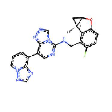 Fc1ccc2c(c1CNc1ncc(-c3cccn4ncnc34)c3nncn13)[C@H]1CC1O2